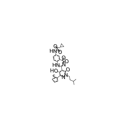 CC(C)CCn1nc(-c2cccs2)c(O)c(C2=NS(=O)(=O)c3cc(NS(=O)(=O)C4CC4)ccc3N2)c1=O